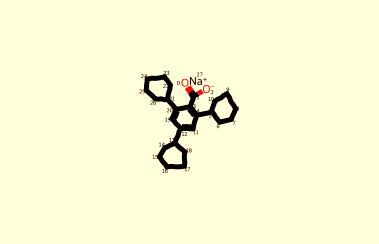 O=C([O-])c1c(C2CCCCC2)cc(C2CCCCC2)cc1C1CCCCC1.[Na+]